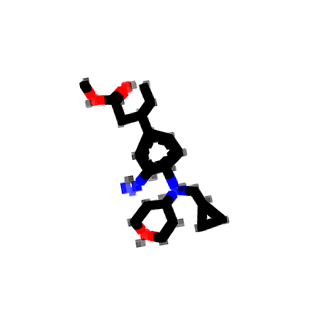 CCC(CC(=O)OC)c1ccc(N(CC2CC2)C2CCOCC2)c(N)c1